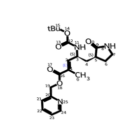 C/C(=C\[C@H](C[C@@H]1CCNC1=O)NC(=O)OC(C)(C)C)C(=O)OCc1ccccn1